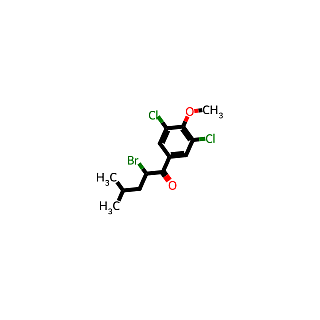 COc1c(Cl)cc(C(=O)C(Br)CC(C)C)cc1Cl